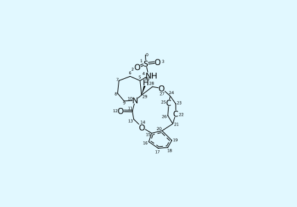 CS(=O)(=O)NC1CCCCN2C(=O)COc3ccccc3C3CCC(CC3)OC[C@@H]12